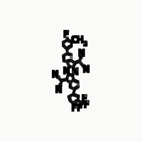 Cc1cc(-c2ccc3c(c2)C(=C(C#N)C#N)c2nc4c(nc2-3)C(=C(C#N)C#N)c2cc(-c3ccc(F)c(C(F)(F)F)c3)ccc2-4)ccc1F